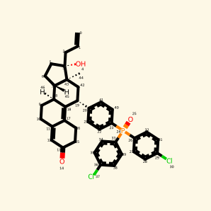 C=CC[C@]1(O)CC[C@H]2[C@@H]3CCC4=CC(=O)CCC4=C3[C@@H](c3ccc(P(=O)(c4ccc(Cl)cc4)c4ccc(Cl)cc4)cc3)C[C@@]21C